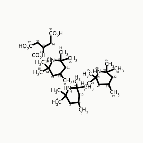 CC1CC(C)(C)NC(C)(C)C1.CC1CC(C)(C)NC(C)(C)C1.CC1CC(C)(C)NC(C)(C)C1.O=C(O)CC(CC(=O)O)C(=O)O